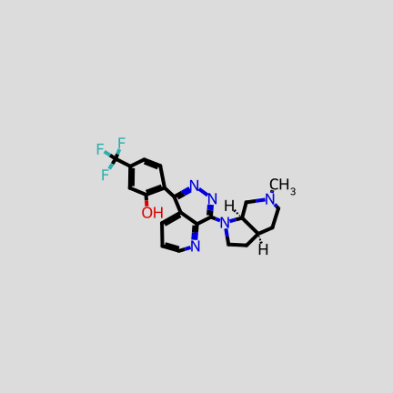 CN1CC[C@H]2CCN(c3nnc(-c4ccc(C(F)(F)F)cc4O)c4cccnc34)[C@H]2C1